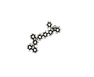 c1ccc(-n2c3cc(-c4ccc(-c5ccc(-n6c7ccccc7c7cc(-n8c9ccccc9c9ccccc98)ccc76)cc5)cc4)ccc3c3c4ccccc4oc32)cc1